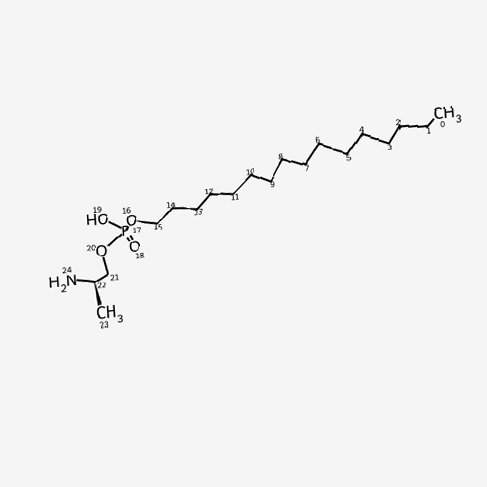 CCCCCCCCCCCCCCCCOP(=O)(O)OC[C@@H](C)N